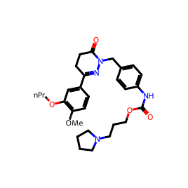 CCCOc1cc(C2=NN(Cc3ccc(NC(=O)OCCCN4CCCC4)cc3)C(=O)CC2)ccc1OC